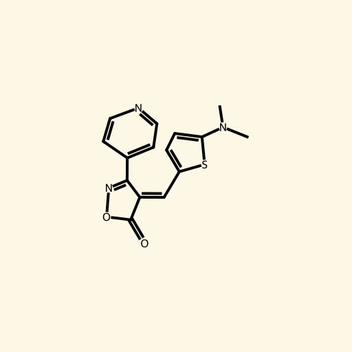 CN(C)c1ccc(/C=C2/C(=O)ON=C2c2ccncc2)s1